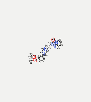 CC1(C)OB(c2cccc(N3CCN(CCCn4nc5ccccn5c4=O)CC3)c2)OC1(C)C